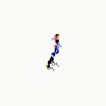 CCn1c2ccc(CN3CCC(N4CCCn5nc(C(=O)Nc6nc7ccc(NS(=O)(=O)c8cccs8)cc7s6)cc5C4)CC3)cc2c2ccc(-c3cc(C)cs3)cc21